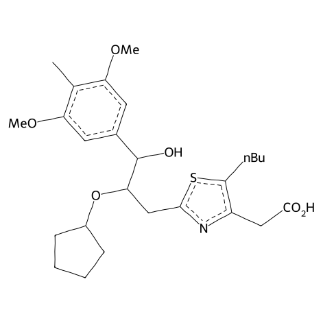 CCCCc1sc(CC(OC2CCCC2)C(O)c2cc(OC)c(C)c(OC)c2)nc1CC(=O)O